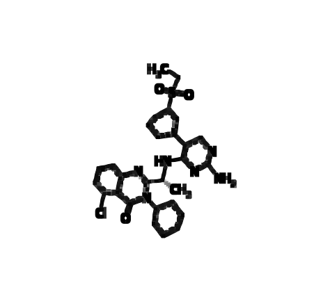 CCS(=O)(=O)c1cccc(-c2cnc(N)nc2N[C@H](C)c2nc3cccc(Cl)c3c(=O)n2-c2ccccc2)c1